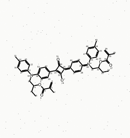 C=C(C)C(=O)OC(CC)CN(c1ccc(C)cc1)c1ccc(C2=C([O-])C(=C3C=CC(=[N+](CC(CC)OC(=O)C(=C)C)c4ccc(C)cc4)C=C3)C2=O)cc1